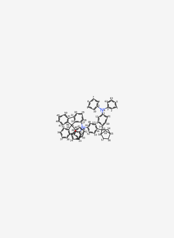 c1ccc(N(c2ccccc2)c2ccc(C3(c4ccc(N(c5ccccc5)c5cccc6c5C(c5ccccc5)(c5ccccc5)c5ccccc5-6)cc4)CC4CCC3C4)cc2)cc1